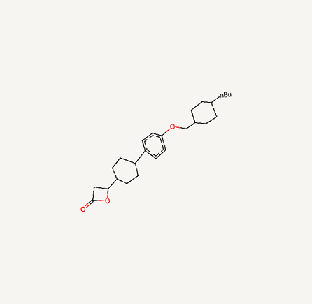 CCCCC1CCC(COc2ccc(C3CCC(C4CC(=O)O4)CC3)cc2)CC1